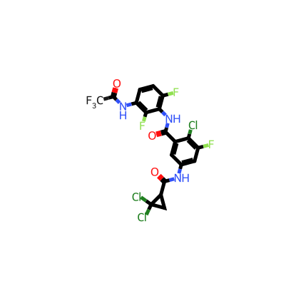 O=C(Nc1c(F)ccc(NC(=O)C(F)(F)F)c1F)c1cc(NC(=O)C2CC2(Cl)Cl)cc(F)c1Cl